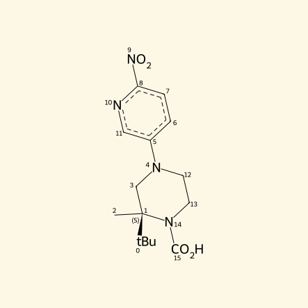 CC(C)(C)[C@@]1(C)CN(c2ccc([N+](=O)[O-])nc2)CCN1C(=O)O